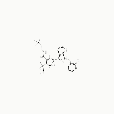 CC(C)(C)CCNC(=O)c1nc(-c2nn(Cc3ccccc3F)c3ncccc23)nc2c1C(C)(C)C(=O)N2